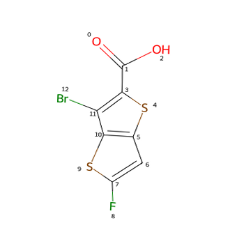 O=C(O)c1sc2cc(F)sc2c1Br